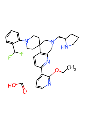 CCOc1ncccc1-c1ccc2c(n1)CN(C[C@H]1CCCN1)CC21CCN(c2ccccc2C(F)F)CC1.O=CO